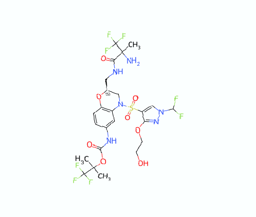 CC(C)(OC(=O)Nc1ccc2c(c1)N(S(=O)(=O)c1cn(C(F)F)nc1OCCO)C[C@H](CNC(=O)C(C)(N)C(F)(F)F)O2)C(F)(F)F